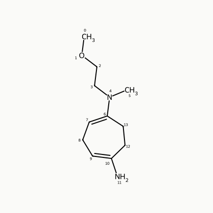 COCCN(C)C1=CCC=C(N)CC1